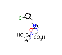 CC(C)C[C@H](NC(Cn1ccn(CCc2cccc(Cl)c2)c1=O)C(=O)O)C(=O)O